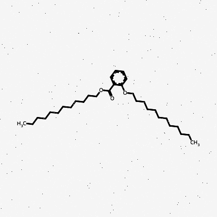 CCCCCCCCCCCCOC(=O)c1ccccc1OCCCCCCCCCCCC